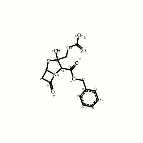 CC(=O)OCC1(C)SC2CC(=O)N2C1C(=O)OCc1ccccc1